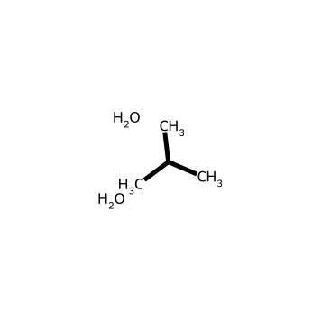 CC(C)C.O.O